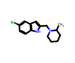 CC1CCCCN1Cc1cc2cc(Br)ccc2[nH]1